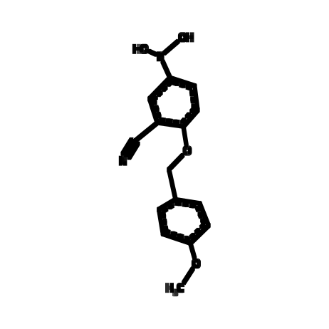 COc1ccc(COc2ccc(B(O)O)cc2C#N)cc1